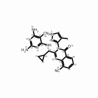 Cc1c[nH]nc1-n1c([C@@H](Nc2nc(N)nc(N)c2C#N)C2CC2)nc2c(C#N)cccc2c1=O